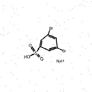 O=S(=O)(O)c1cc(Br)cc(Br)c1.[NaH]